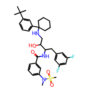 CN(c1cccc(C(=O)NC(Cc2cc(F)cc(F)c2)C(O)CNC2(c3cccc(C(C)(C)C)c3)CCCCC2)c1)S(C)(=O)=O